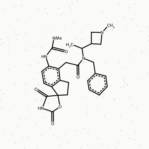 CNC(=O)Nc1ccc2c(c1CC(=O)N(Cc1ccccc1)C(C)C1CN(C)C1)CCC21OC(=O)NC1=O